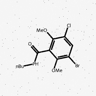 CCCCPC(=O)c1c(OC)c(Cl)cc(Br)c1OC